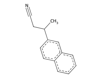 CC(CC#N)c1ccc2ccccc2c1